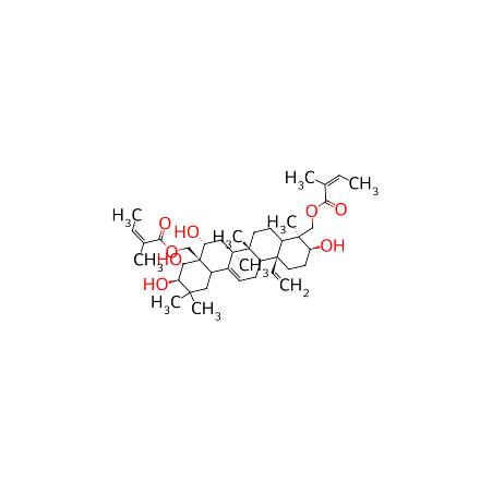 C=C[C@]12CC[C@H](O)[C@](C)(COC(=O)/C(C)=C\C)C1CC[C@]1(C)C2CC=C2C3CC(C)(C)[C@@H](O)[C@H](O)[C@]3(COC(=O)/C(C)=C\C)[C@H](O)C[C@]21C